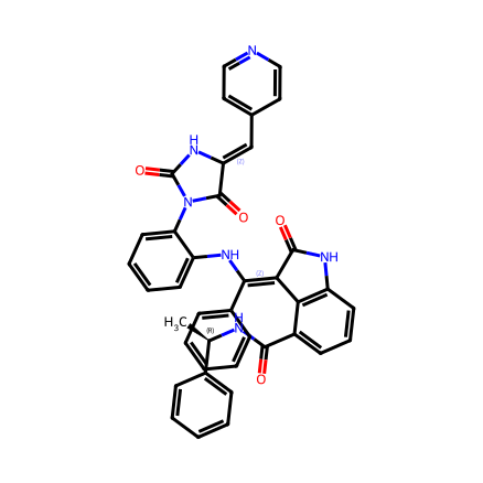 C[C@@H](NC(=O)c1cccc2c1/C(=C(/Nc1ccccc1N1C(=O)N/C(=C\c3ccncc3)C1=O)c1ccccc1)C(=O)N2)c1ccccc1